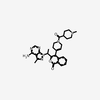 Cc1nn(C(C)c2oc(=O)c3ccccc3c2C2=CCN(C(=O)C3CCN(C)CC3)CC2)c2ncnc(N)c12